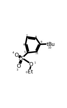 CCOS(=O)(=O)c1cccc(C(C)(C)C)c1